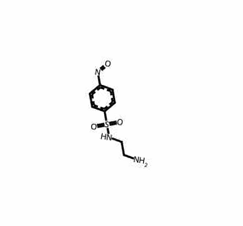 NCCNS(=O)(=O)c1ccc(N=O)cc1